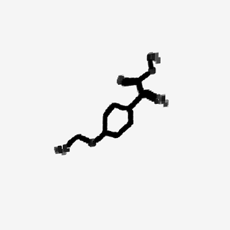 C=C(C(=O)OC)C1CCC(OCC)CC1